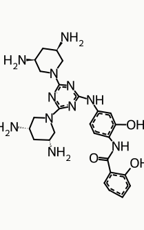 N[C@@H]1C[C@H](N)CN(c2nc(Nc3ccc(NC(=O)c4ccccc4O)c(O)c3)nc(N3C[C@H](N)C[C@H](N)C3)n2)C1